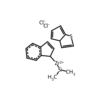 C1=CC2C=CSC2=C1.C[Si](C)[Zr+2][CH]1C=Cc2ccccc21.[Cl-].[Cl-]